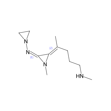 CNCCC/C(C)=C1/C(=N\N2CC2)N1C